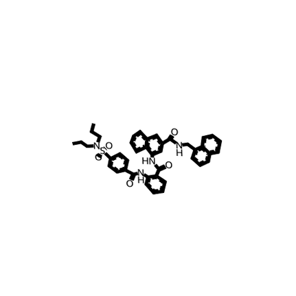 CCCN(CCC)S(=O)(=O)c1ccc(C(=O)Nc2ccccc2C(=O)Nc2cc(C(=O)NCc3cccc4ccccc34)cc3ccccc23)cc1